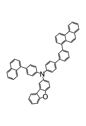 c1cc(-c2ccc(N(c3ccc(-c4cccc5ccccc45)cc3)c3ccc4oc5ccccc5c4c3)cc2)cc(-c2cccc3c2ccc2ccccc23)c1